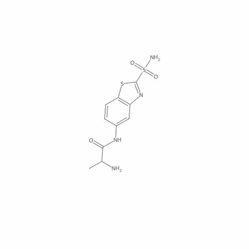 CC(N)C(=O)Nc1ccc2sc(S(N)(=O)=O)nc2c1